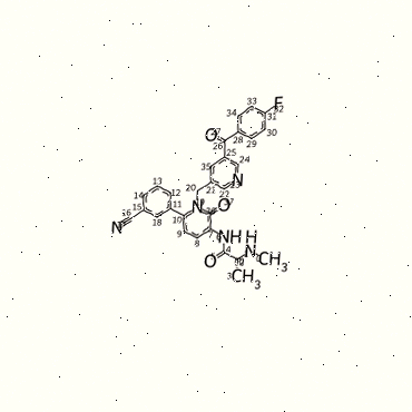 CN[C@H](C)C(=O)Nc1ccc(-c2cccc(C#N)c2)n(Cc2cncc(C(=O)c3ccc(F)cc3)c2)c1=O